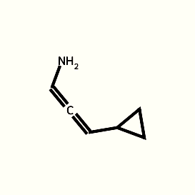 NC=C=CC1CC1